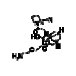 N#C[C@@H]1CCCN1C(=O)CN(C(=O)O)C12C[C@@H]3C[C@H](CC(OCCOCCN)(C3)C1)C2